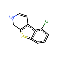 Clc1cccc2sc3c(c12)C=CNC3